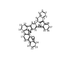 c1ccc2c(c1)cc1c3cc4c5cccc6c7ccc8c9ccccc9oc8c7n(c4cc3n3c4ccccc4c2c13)c56